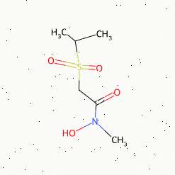 CC(C)S(=O)(=O)CC(=O)N(C)O